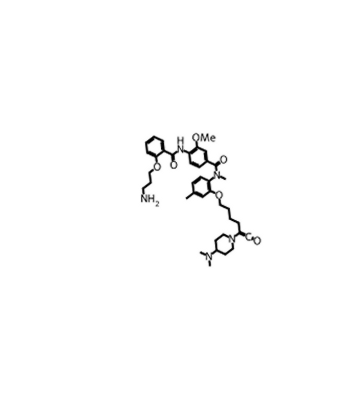 COc1cc(C(=O)N(C)c2ccc(C)cc2OCCCCC(=C=O)N2CCC(N(C)C)CC2)ccc1NC(=O)c1ccccc1OCCCN